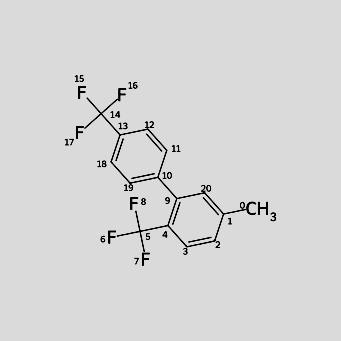 Cc1ccc(C(F)(F)F)c(-c2ccc(C(F)(F)F)cc2)c1